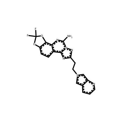 Nc1nc2c3c(ccc2c2nc(CCn4cc5cccnc5c4)nn12)OC(F)(F)O3